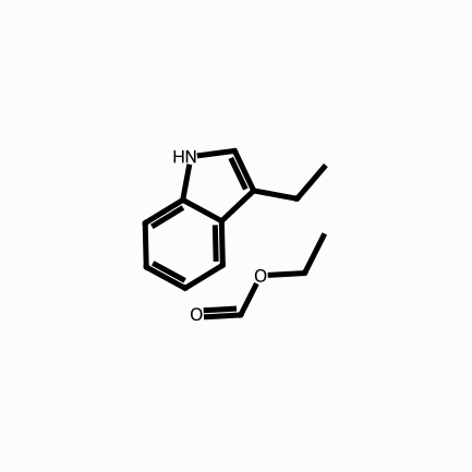 CCOC=O.CCc1c[nH]c2ccccc12